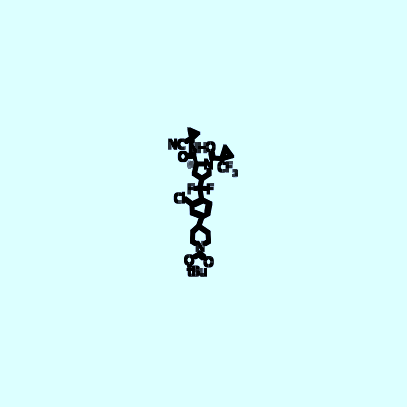 CC(C)(C)OC(=O)N1CCC(c2ccc(C(F)(F)C3C[C@@H](C(=O)NC4(C#N)CC4)N(C(=O)C4(C(F)(F)F)CC4)C3)c(Cl)c2)CC1